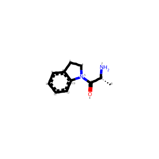 C[C@@H](N)C(=O)N1CCc2ccccc21